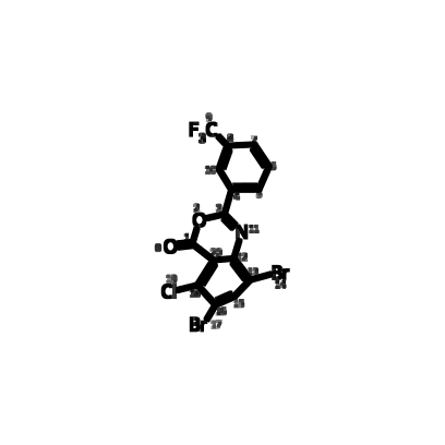 O=c1oc(-c2cccc(C(F)(F)F)c2)nc2c(Br)cc(Br)c(Cl)c12